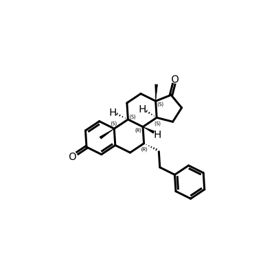 C[C@]12C=CC(=O)C=C1C[C@@H](CCc1ccccc1)[C@@H]1[C@@H]2CC[C@]2(C)C(=O)CC[C@@H]12